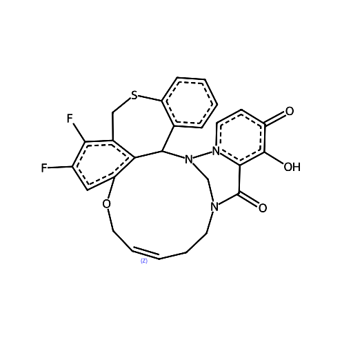 O=C1c2c(O)c(=O)ccn2N2CN1CC/C=C\COc1cc(F)c(F)c3c1C2c1ccccc1SC3